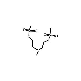 CN(CCOS(C)(=O)=O)CCOS(C)(=O)=O